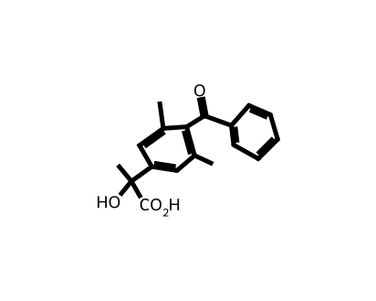 Cc1cc(C(C)(O)C(=O)O)cc(C)c1C(=O)c1ccccc1